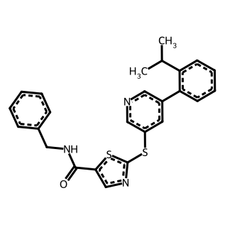 CC(C)c1ccccc1-c1cncc(Sc2ncc(C(=O)NCc3ccccc3)s2)c1